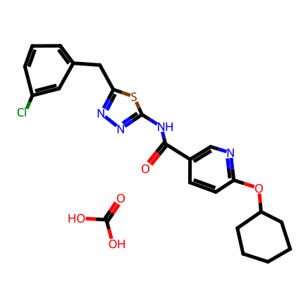 O=C(Nc1nnc(Cc2cccc(Cl)c2)s1)c1ccc(OC2CCCCC2)nc1.O=C(O)O